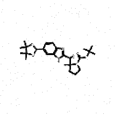 CC(C)(C)OC(=O)N1CCCC1(C)C(S)c1nc2ccc(B3OC(C)(C)C(C)(C)O3)cc2[nH]1